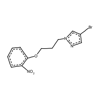 O=[N+]([O-])c1ccccc1OCCCn1cc(Br)cn1